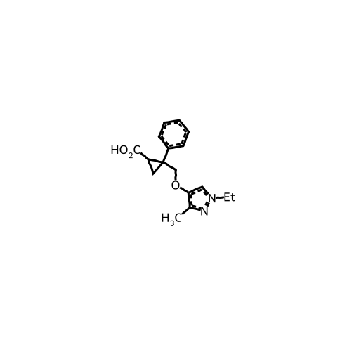 CCn1cc(OCC2(c3ccccc3)CC2C(=O)O)c(C)n1